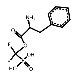 N[C@@H](Cc1ccccc1)C(=O)OC(F)(F)P(=O)(O)O